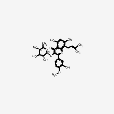 COc1ccc(-c2oc3c(CC=C(C)C)c(O)cc(O)c3c(=O)c2O[C@@H]2OC(C)[C@H](O)C(O)[C@@H]2O)cc1O